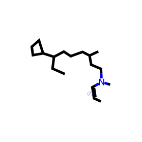 C/C=C\N(C)CCC(C)CCCC(CC)C1CCC1